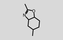 CC1=NC2CC(C)CCC2O1